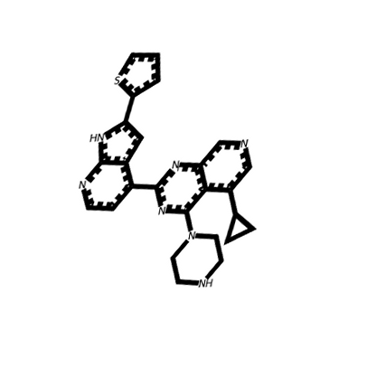 c1csc(-c2cc3c(-c4nc(N5CCNCC5)c5c(C6CC6)cncc5n4)ccnc3[nH]2)c1